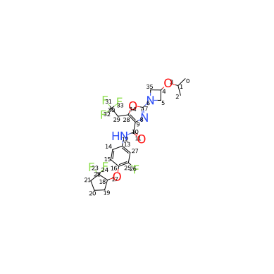 CC(C)OC1CN(c2nc(C(=O)Nc3ccc(OC4CCCC4(F)F)c(F)c3)c(CC(F)(F)F)o2)C1